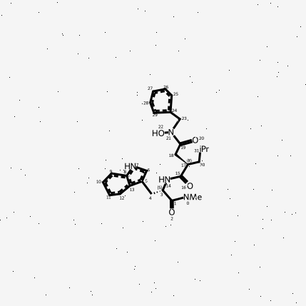 CNC(=O)[C@H](Cc1c[nH]c2ccccc12)NC(=O)[C@@H](CC(=O)N(O)Cc1ccccc1)CC(C)C